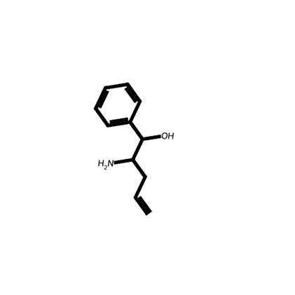 C=CCC(N)C(O)c1ccccc1